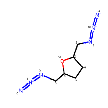 [N-]=[N+]=NCC1CCC(CN=[N+]=[N-])O1